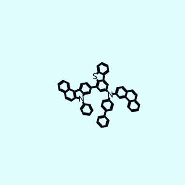 c1ccc(-c2ccc(N(c3ccc4ccc5ccccc5c4c3)c3cc(-c4ccc5c6c7ccccc7ccc6n(-c6ccccc6)c5c4)c4sc5ccccc5c4c3)cc2)cc1